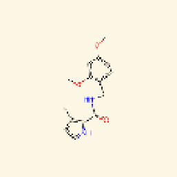 COc1ccc(CNC(=O)c2[nH]ccc2C)c(OC)c1